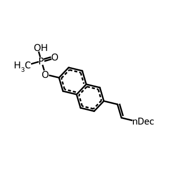 CCCCCCCCCCC=Cc1ccc2cc(OP(C)(=O)O)ccc2c1